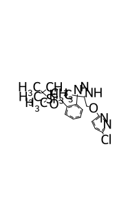 CC1(c2ccccc2CO[Si](C)(C)C(C)(C)C)N=NNC1COc1ccc(Cl)nn1